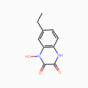 CCc1ccc2[nH]c(=O)c(=O)n(O)c2c1